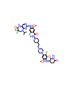 COc1cc(C(=O)NN2CCC(CCN3CCN(c4cc(OC)c(NC5CCC(=O)NC5=O)cc4F)CC3)CC2)c(F)cc1Nc1ncc2c(n1)N(C(C)C)CC(F)(F)C(=O)N2C